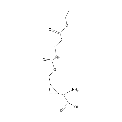 CCOC(=O)CCNC(=O)OCC1CC1C(N)C(=O)O